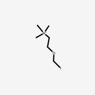 C[N+](C)(C)CCOCI